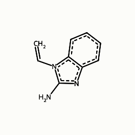 C=Cn1c(N)nc2ccccc21